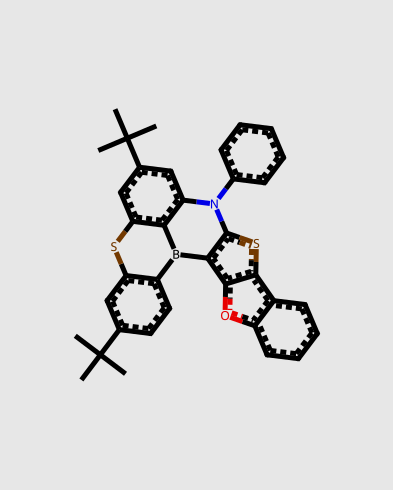 CC(C)(C)c1ccc2c(c1)Sc1cc(C(C)(C)C)cc3c1B2c1c(sc2c1oc1ccccc12)N3c1ccccc1